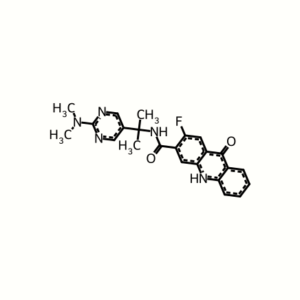 CN(C)c1ncc(C(C)(C)NC(=O)c2cc3[nH]c4ccccc4c(=O)c3cc2F)cn1